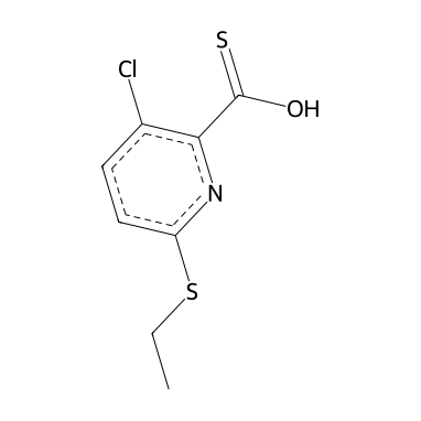 CCSc1ccc(Cl)c(C(O)=S)n1